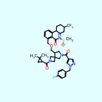 C[S+]([O-])NC(=O)c1c(COCC2CN(C(=O)c3cnn(Cc4ccc(F)cc4)c3)CC23CN(C(=O)C2CC2(C)C)C3)cccc1C1CCC(C(F)(F)F)CC1